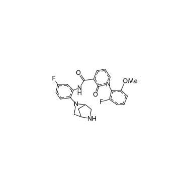 COc1cccc(F)c1-n1cccc(C(=O)Nc2cc(F)ccc2N2CC3CC2CN3)c1=O